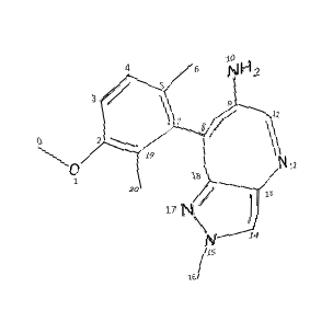 COc1ccc(C)c(-c2c(N)cnc3cn(C)nc23)c1C